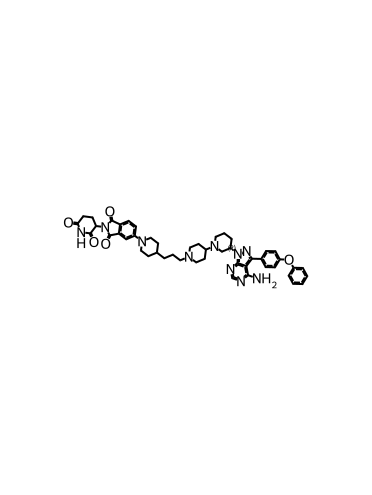 Nc1ncnc2c1c(-c1ccc(Oc3ccccc3)cc1)nn2[C@@H]1CCCN(C2CCN(CCCC3CCN(c4ccc5c(c4)C(=O)N(C4CCC(=O)NC4=O)C5=O)CC3)CC2)C1